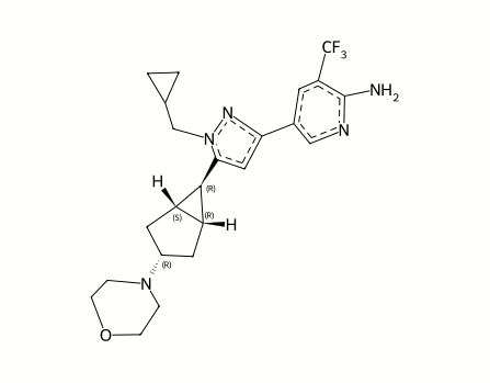 Nc1ncc(-c2cc([C@H]3[C@@H]4C[C@H](N5CCOCC5)C[C@@H]43)n(CC3CC3)n2)cc1C(F)(F)F